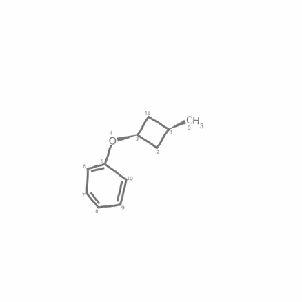 C[C@H]1C[C@@H](Oc2ccccc2)C1